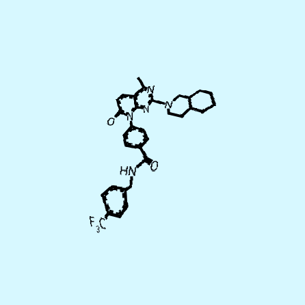 Cc1nc(N2CCC3CCCCC3C2)nc2c1ccc(=O)n2-c1ccc(C(=O)NCc2ccc(C(F)(F)F)cc2)cc1